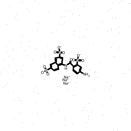 Nc1ccc(C(=O)Nc2cc(S(=O)(=O)[O-])cc3cc(S(=O)(=O)[O-])ccc23)c(S(=O)(=O)[O-])c1.[Na+].[Na+].[Na+]